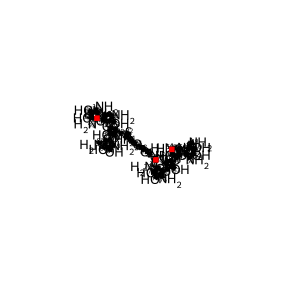 NCC1O[C@H](OC2C(N)C[C@@H](N)C(O)[C@H]2O[C@@H]2O[C@H](CNC(=S)NCCOCCOCCNC(=S)NC[C@H]3O[C@@H](OC4C(O[C@@H]5OC(CN)C(O)[C@H](O)C5N)C(N)C[C@H](N)[C@@H]4O)C(O)C3O[C@@H]3O[C@H](CN)C(O)C(O)C3N)C(O[C@H]3O[C@@H](CN)C(O)C(O)C3N)[C@@H]2O)C(N)[C@@H](O)C1O